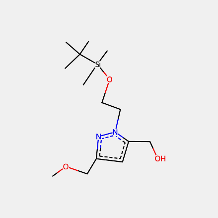 COCc1cc(CO)n(CCO[Si](C)(C)C(C)(C)C)n1